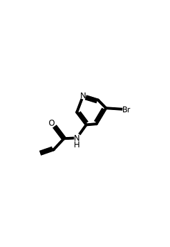 C=CC(=O)Nc1cncc(Br)c1